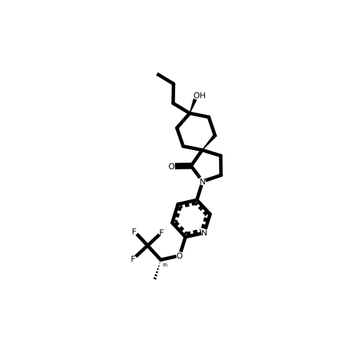 CCC[C@]1(O)CC[C@]2(CCN(c3ccc(O[C@H](C)C(F)(F)F)nc3)C2=O)CC1